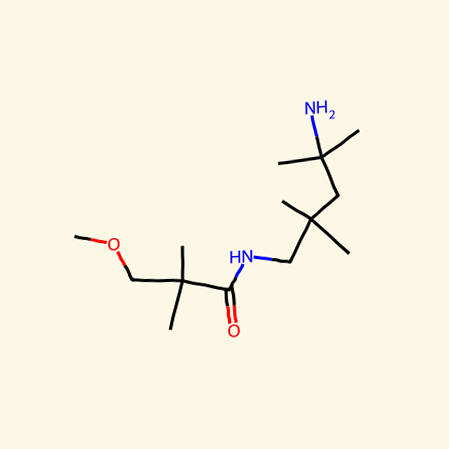 COCC(C)(C)C(=O)NCC(C)(C)CC(C)(C)N